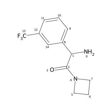 NC(C(=O)N1CCC1)c1cccc(C(F)(F)F)c1